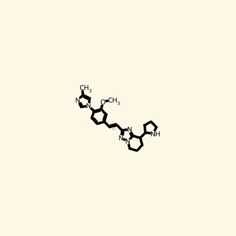 COc1cc(/C=C/c2nc3n(n2)CCCC3C2CCCN2)ccc1-n1cnc(C)c1